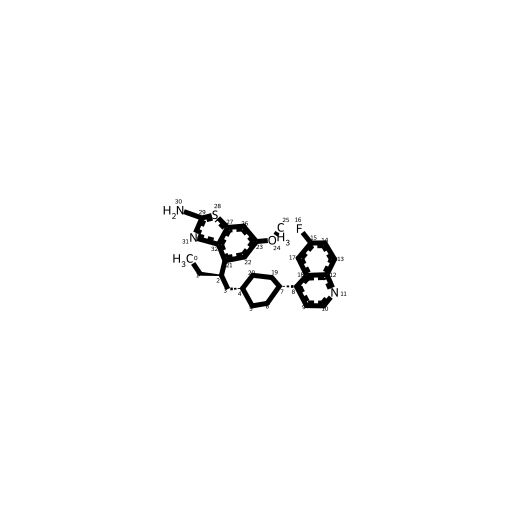 CC[C@H](C[C@H]1CC[C@@H](c2ccnc3ccc(F)cc32)CC1)c1cc(OC)cc2sc(N)nc12